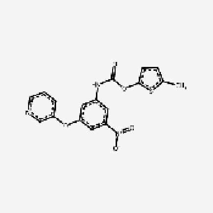 Cc1ccc(OC(=O)Nc2cc(Oc3cccnc3)cc([N+](=O)[O-])c2)s1